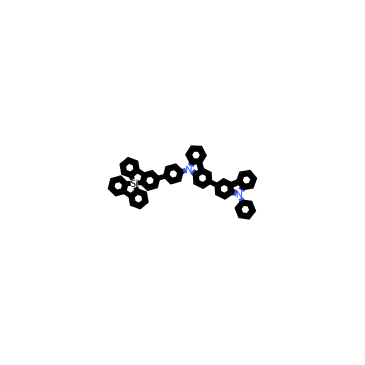 c1ccc(-n2c3ccccc3c3cc(-c4ccc5c(c4)c4ccccc4n5-c4ccc(-c5ccc6c(c5)-c5ccccc5[Si]65c6ccccc6-c6ccccc65)cc4)ccc32)cc1